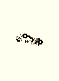 Cc1cccc(C)c1C(=O)NC(CC=Cc1ccc(N(C)c2ncccn2)cc1)C(=O)O